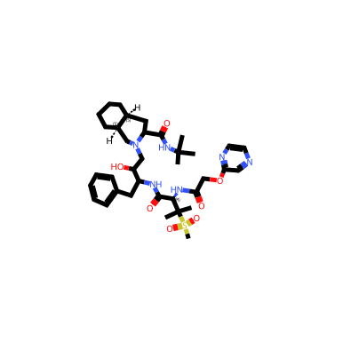 CC(C)(C)NC(=O)C1C[C@@H]2CCCC[C@@H]2CN1CC(O)C(Cc1ccccc1)NC(=O)[C@@H](NC(=O)COc1cnccn1)C(C)(C)S(C)(=O)=O